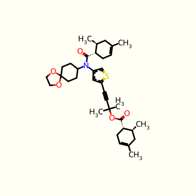 CC1=CC[C@H](C(=O)OC(C)(C)C#Cc2cc(N(C(=O)[C@H]3CC=C(C)C[C@@H]3C)C3CCC4(CC3)OCCO4)cs2)[C@@H](C)C1